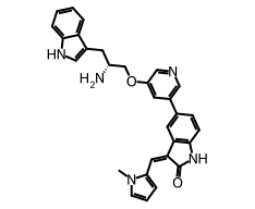 Cn1cccc1C=C1C(=O)Nc2ccc(-c3cncc(OC[C@H](N)Cc4c[nH]c5ccccc45)c3)cc21